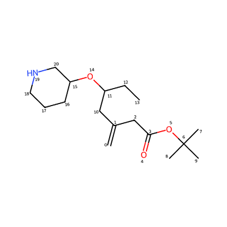 C=C(CC(=O)OC(C)(C)C)CC(CC)OC1CCCNC1